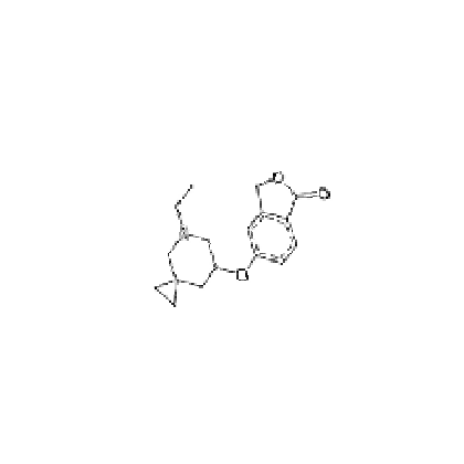 CCN1CC(Oc2ccc3c(c2)COC3=O)CC2(CC2)C1